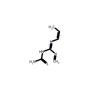 C=N/C(=N\C=C/C)NC(N)=S